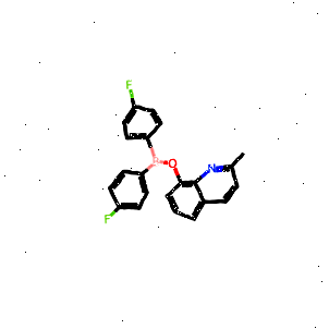 Cc1ccc2cccc(OB(c3ccc(F)cc3)c3ccc(F)cc3)c2n1